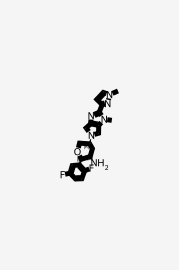 Cn1ccc(-c2nc3c(n2C)CN([C@H]2CO[C@H](c4cc(F)ccc4F)[C@@H](N)C2)C3)n1